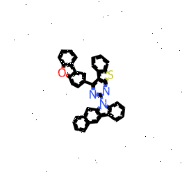 c1ccc2cc3c(cc2c1)c1ccccc1n3-c1nc(-c2ccc3oc4ccccc4c3c2)c2c(n1)sc1ccccc12